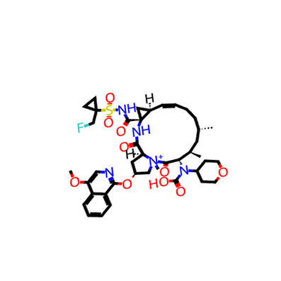 COc1cnc(O[C@@H]2C[C@H]3C(=O)N[C@]4(C(=O)NS(=O)(=O)C5(CF)CC5)C[C@H]4/C=C\CC[C@H](C)C[C@@H](C)[C@H](N(C(=O)O)C4CCOCC4)C(=O)[N+]3(C)C2)c2ccccc12